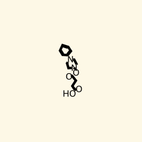 O=C(O)CCC(=O)ON1CCN(c2ccccc2)CC1